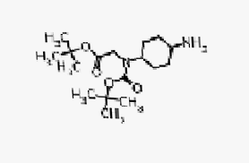 CC(C)(C)OC(=O)CN(C(=O)OC(C)(C)C)C1CCC(N)CC1